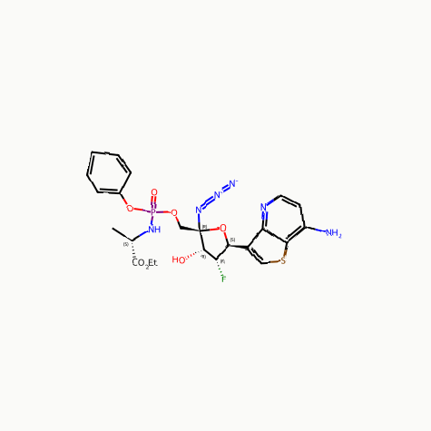 CCOC(=O)[C@H](C)NP(=O)(OC[C@@]1(N=[N+]=[N-])O[C@@H](c2csc3c(N)ccnc23)[C@H](F)[C@@H]1O)Oc1ccccc1